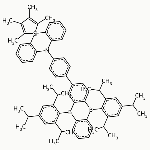 CC1=C(C)[Si]2(C(C)=C1C)c1ccccc1N(c1ccc(-c3ccc4c(c3)B(c3c(C(C)C)cc(C(C)C)cc3C(C)C)c3ccccc3B4c3c(C(C)C)cc(C(C)C)cc3C(C)C)cc1)c1ccccc12